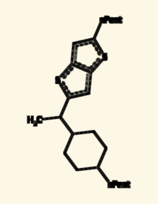 CCCCCc1cc2sc(C(C)C3CCC(CCCCC)CC3)cc2s1